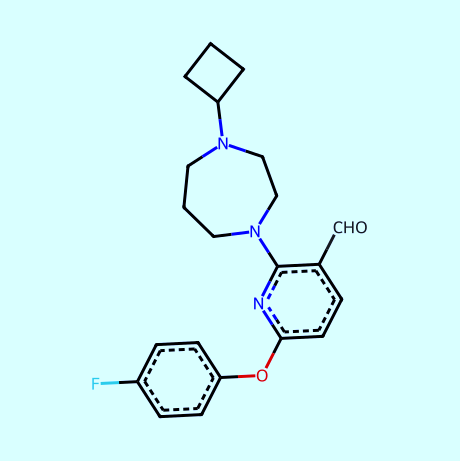 O=Cc1ccc(Oc2ccc(F)cc2)nc1N1CCCN(C2CCC2)CC1